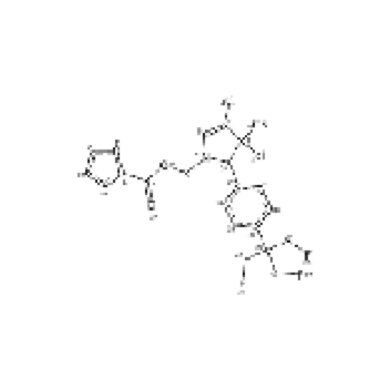 N#CC1(Cl)C(Cl)=CN(COC(=O)c2ccco2)C1c1ccc(C(CF)(CF)CF)cc1